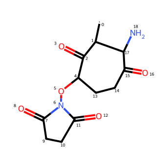 [CH2]C1C(=O)C(ON2C(=O)CCC2=O)CCC(=O)C1N